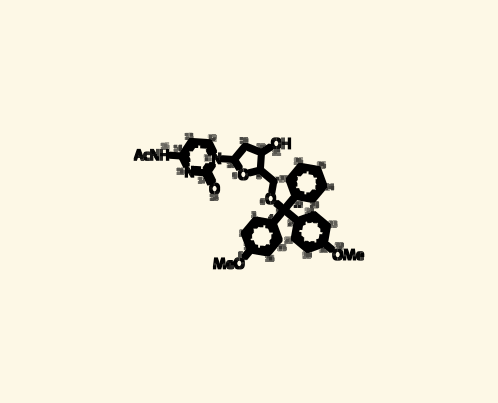 COc1ccc(C(OCC2OC(n3ccc(NC(C)=O)nc3=O)CC2O)(c2ccccc2)c2ccc(OC)cc2)cc1